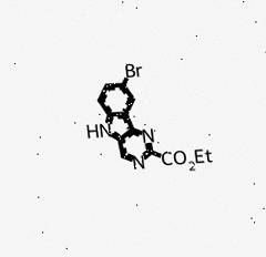 CCOC(=O)c1ncc2[nH]c3ccc(Br)cc3c2n1